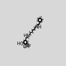 Oc1cc(CCNCCCCCCNCCc2ccccc2)cc(Br)c1O